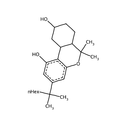 CCCCCCC(C)(C)c1cc(O)c2c(c1)OC(C)(C)C1CCC(O)CC21